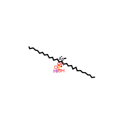 CCCCCCCCCCCCCCC(CCCCCCCCCCCCCC)[As](C)C.CP(=O)(O)O.I